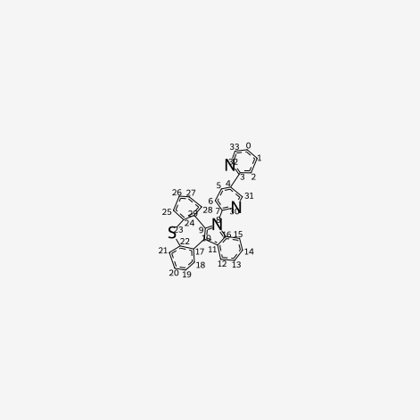 c1ccc(-c2ccc(-n3c4c(c5ccccc53)-c3ccccc3Sc3ccccc3-4)nc2)nc1